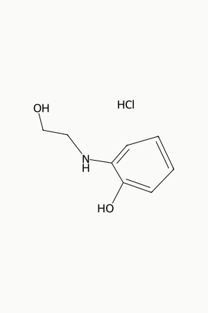 Cl.OCCNc1ccccc1O